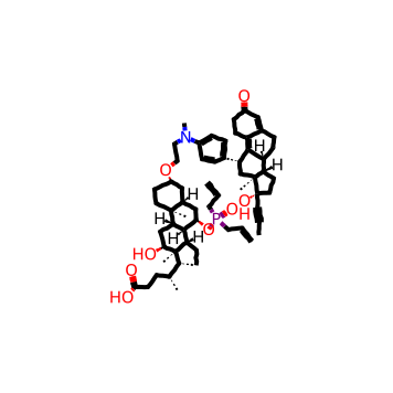 C=CCP(=O)(CC=C)O[C@@H]1C[C@@H]2C[C@@H](OCCN(C)c3ccc([C@H]4C[C@@]5(C)[C@@H](CC[C@@]5(O)C#CC)[C@@H]5CCC6=CC(=O)CCC6=C54)cc3)CC[C@]2(C)[C@H]2C[C@H](O)[C@]3(C)[C@@H]([C@H](C)CCC(=O)O)CC[C@H]3[C@H]12